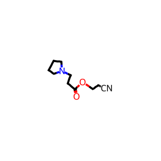 N#CCCOC(=O)CCN1CCCC1